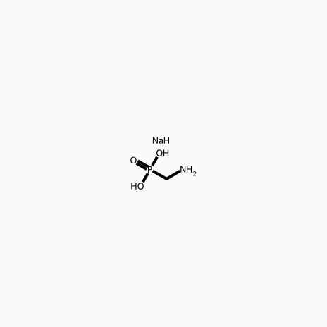 NCP(=O)(O)O.[NaH]